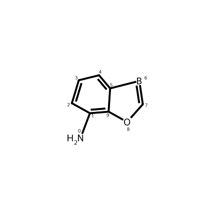 Nc1cccc2bcoc12